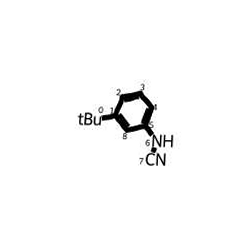 CC(C)(C)c1cccc(NC#N)c1